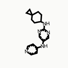 c1cc(Nc2cnc(NC3CCC4(CC3)CC4)nc2)ccn1